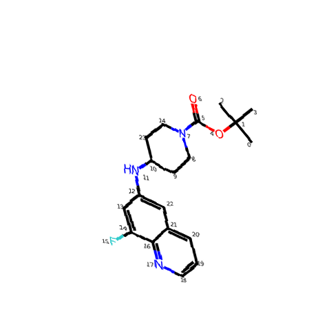 CC(C)(C)OC(=O)N1CCC(Nc2cc(F)c3ncccc3c2)CC1